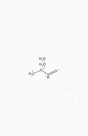 CO[SH]=O.O.O